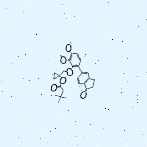 COc1ccc(-c2ccc3c(c2)CCC3=O)c(OCC2(OC(=O)CC(C)(C)C)CC2)c1OC